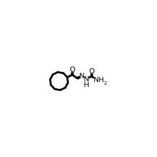 NC(=O)N/N=C/C(=O)C1CCCCCCCCC1